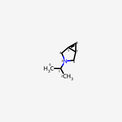 CC(C)N1CC2=CC2C1